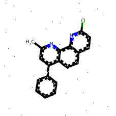 Cc1cc(-c2ccccc2)c2ccc3ccc(Cl)nc3c2n1